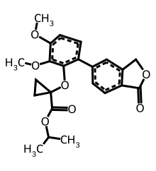 COc1ccc(-c2ccc3c(c2)COC3=O)c(OC2(C(=O)OC(C)C)CC2)c1OC